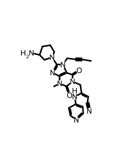 CC#CCn1c(N2CCCC(N)C2)nc2c1c(=O)n(CC(=CC#N)Nc1ccncc1)c(=O)n2C